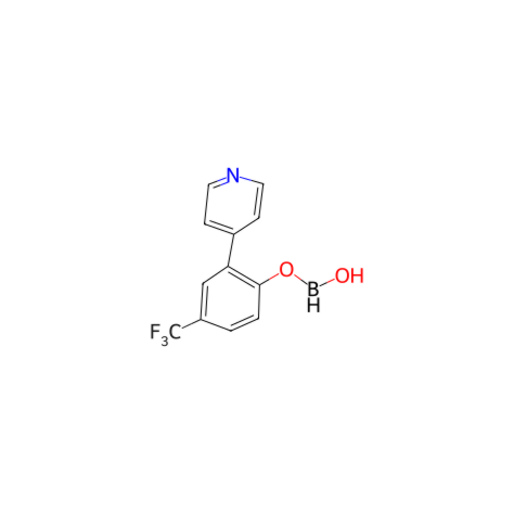 OBOc1ccc(C(F)(F)F)cc1-c1ccncc1